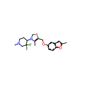 CC1=C(COc2ccc3oc(C)cc3c2)SCN1C1CCN(C)CC1(F)F